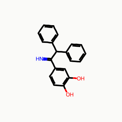 N=C(c1ccc(O)c(O)c1)C(c1ccccc1)c1ccccc1